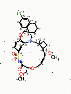 COC[C@@H]1OCC=C[C@@H](OC)[C@@H]2CC[C@H]2CN2C[C@@]3(CCCc4cc(Cl)ccc43)COc3ccc(cc32)S(=O)(=O)NC1=O